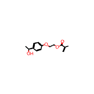 C=C(C)C(=O)OCCOc1ccc(C(C)O)cc1